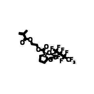 C=C(C)C(=O)OCCOC(=O)S1(OS(=O)(=O)C(F)(F)C(F)(F)C(F)(F)C(F)(F)F)CCCC1